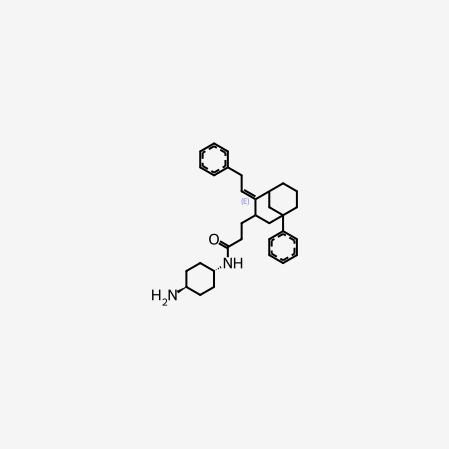 N[C@H]1CC[C@H](NC(=O)CCC2CC3(c4ccccc4)CCCC(C3)/C2=C\Cc2ccccc2)CC1